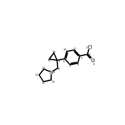 O=C(Cl)c1ccc(C2(CN3CCCC3)CC2)cc1